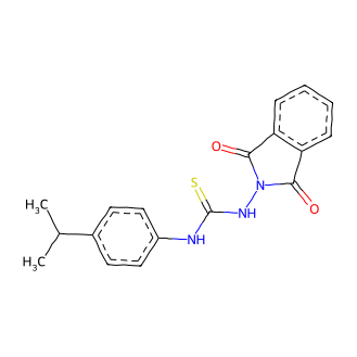 CC(C)c1ccc(NC(=S)NN2C(=O)c3ccccc3C2=O)cc1